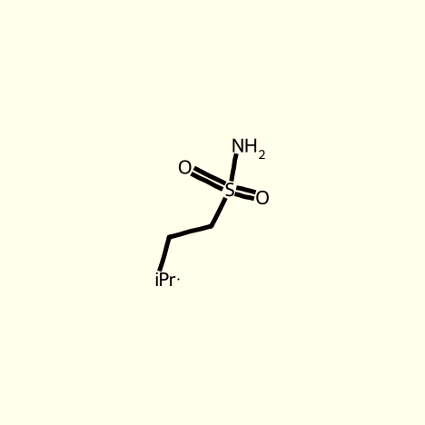 C[C](C)CCS(N)(=O)=O